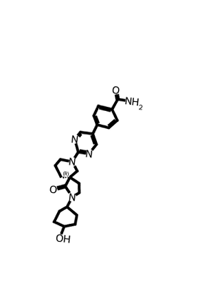 NC(=O)c1ccc(-c2cnc(N3CCC[C@@]4(CCN(C5CCC(O)CC5)C4=O)C3)nc2)cc1